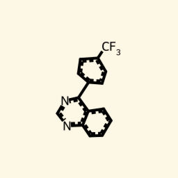 FC(F)(F)c1ccc(-c2ncnc3ccccc23)cc1